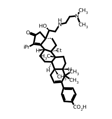 CC[C@@]12CC[C@@]3([C@@H](O)CNCCN(C)C)CC(=O)C(C(C)C)=C3[C@H]1CC[C@@H]1[C@@]3(C)CC=C(c4ccc(C(=O)O)cc4)C(C)(C)[C@H]3CC[C@]12C